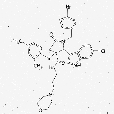 Cc1ccc(SC2(C(=O)NCCCN3CCOCC3)CC(=O)N(Cc3ccc(Br)cc3)C2c2c[nH]c3cc(Cl)ccc23)c(C)c1